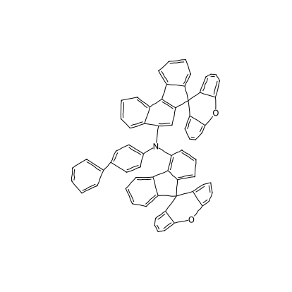 c1ccc(-c2ccc(N(c3cccc4c3-c3ccccc3C43c4ccccc4Oc4ccccc43)c3cc4c(c5ccccc35)-c3ccccc3C43c4ccccc4Oc4ccccc43)cc2)cc1